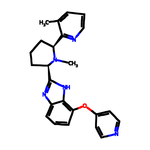 Cc1cccnc1[C@@H]1CCC[C@H](c2nc3cccc(Oc4ccncc4)c3[nH]2)N1C